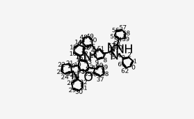 c1ccc(C2=NC(c3ccc(-n4c5ccccc5c5c6c7ccccc7n(-c7ccccc7)c6c6oc7ccccc7c6c54)c(-c4ccccc4)c3)=NC(c3ccccc3)N2)cc1